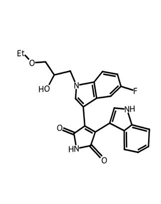 CCOCC(O)Cn1cc(C2=C(c3c[nH]c4ccccc34)C(=O)NC2=O)c2cc(F)ccc21